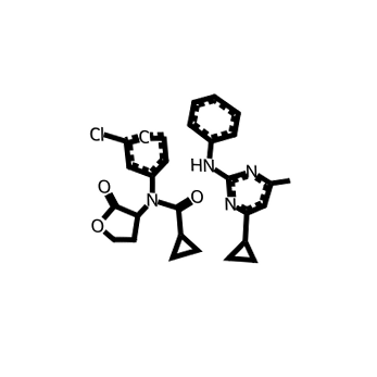 Cc1cc(C2CC2)nc(Nc2ccccc2)n1.O=C1OCCC1N(C(=O)C1CC1)c1cccc(Cl)c1